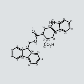 O=C(OCC1c2ccccc2-c2ccccc21)C1Cc2[nH]c3ccccc3c2C[C@@H]1C(=O)O